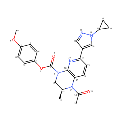 COc1ccc(OC(=O)N2C[C@H](C)N(C(C)=O)c3ccc(-c4cnn(C5CC5)c4)nc32)cc1